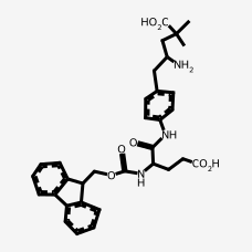 CC(C)(CC(N)Cc1ccc(NC(=O)C(CCC(=O)O)NC(=O)OCC2c3ccccc3-c3ccccc32)cc1)C(=O)O